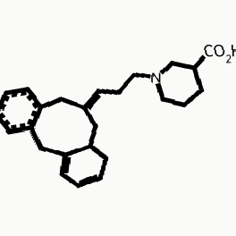 O=C(O)C1CCCN(CCC=C2Cc3ccccc3CC3=CC=CCC3C2)C1